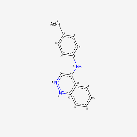 CC(=O)Nc1ccc(Nc2cnnc3ccccc23)cc1